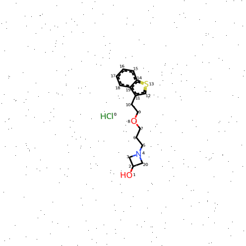 Cl.OC1CN(CCCOCCc2csc3ccccc23)C1